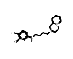 Clc1ccc(NCCCCN2CCN3CCCCC3C2)cc1Cl